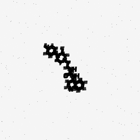 Cc1ccc(N2CCN(CCNC(=O)Nc3ccnc4ccccc34)CC2C)cc1